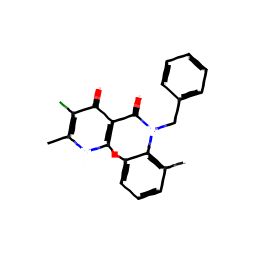 CCc1cccc(C)c1N(Cc1ccccc1)C(=O)c1c(C)[nH]c(C)c(F)c1=O